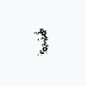 CCn1c(SCC(=O)Nc2ccc(NC(C)=O)cc2)nnc1-c1ccc2ncn(C)c2c1